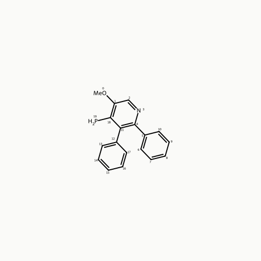 COc1cnc(-c2ccccc2)c(-c2ccccc2)c1P